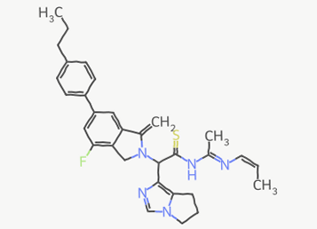 C=C1c2cc(-c3ccc(CCC)cc3)cc(F)c2CN1C(C(=S)N/C(C)=N/C=C\C)c1ncn2c1CCC2